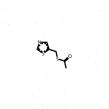 CC(=O)SCc1cncs1